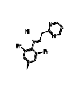 Cc1cc(C(C)C)c(N=CCc2ncncn2)c(C(C)C)c1.[Ni]